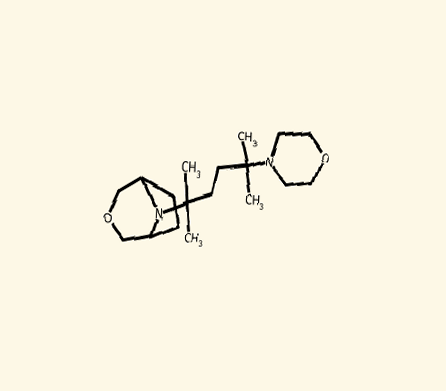 CC(C)(CCC(C)(C)N1C2CCC1COC2)N1CCOCC1